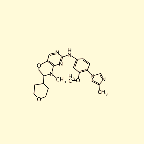 COc1cc(Nc2ncc3c(n2)N(C)C(C2CCOCC2)CO3)ccc1-n1cnc(C)c1